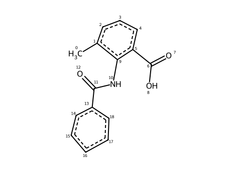 Cc1cccc(C(=O)O)c1NC(=O)c1ccccc1